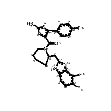 Cc1nc(C(=O)N2CCCCC2Cc2nc3c(F)c(F)ccc3[nH]2)c(-c2ccc(F)cc2)s1